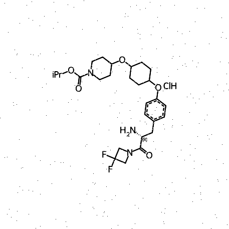 CC(C)OC(=O)N1CCC(OC2CCC(Oc3ccc(C[C@@H](N)C(=O)N4CC(F)(F)C4)cc3)CC2)CC1.Cl